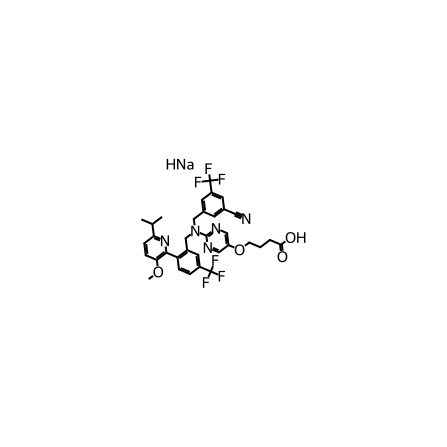 COc1ccc(C(C)C)nc1-c1ccc(C(F)(F)F)cc1CN(Cc1cc(C#N)cc(C(F)(F)F)c1)c1ncc(OCCCC(=O)O)cn1.[NaH]